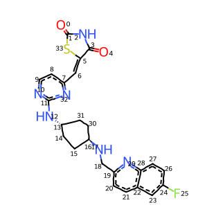 O=C1NC(=O)/C(=C/c2ccnc(N[C@H]3CC[C@H](NCc4ccc5cc(F)ccc5n4)CC3)n2)S1